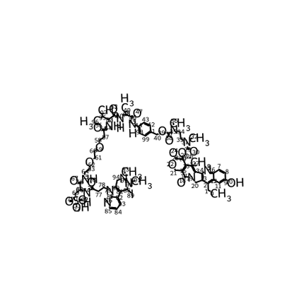 CCc1c2c(nc3ccc(O)cc13)-c1cc3c(c(=O)n1C2)COC(=O)[C@@]3(CC)OC(=O)N(C)CCN(C)C(=O)OCc1ccc(NC(=O)[C@H](C)NC(=O)[C@@H](NC(=O)CCOCCOCCNC(=O)[C@H](CS(=O)(=O)O)NC(=O)CCn2c3c(c4cccnc42)C(I)N(C)N(C)C3)C(C)C)cc1